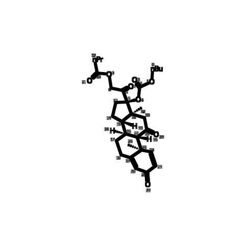 CCCCOC(=O)O[C@]1(C(=O)COC(=O)CCC)CC[C@H]2[C@@H]3CCC4=CC(=O)C=C[C@]4(C)[C@H]3C(=O)C[C@@]21C